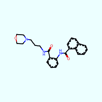 O=C(NCCCN1CCOCC1)c1ccccc1NC(=O)c1cccc2ccccc12